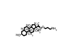 C/C(=N\OCCCN)[C@@]1(O)CC[C@]2(O)[C@@H]3CC[C@@H]4C[C@@H](O)CC[C@]4(C)[C@H]3CC[C@]12C